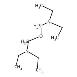 CCN(CC)[SiH2]O[SiH2]N(CC)CC